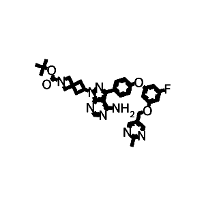 Cc1ncc(COc2cc(F)cc(Oc3ccc(-c4nn(C5CC6(C5)CN(C(=O)OC(C)(C)C)C6)c5ncnc(N)c45)cc3)c2)cn1